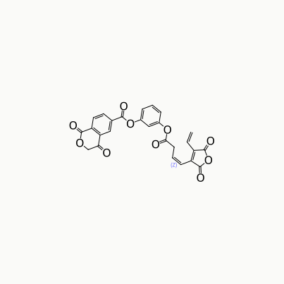 C=CC1=C(/C=C\CC(=O)Oc2cccc(OC(=O)c3ccc4c(c3)C(=O)COC4=O)c2)C(=O)OC1=O